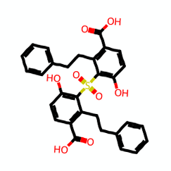 O=C(O)c1ccc(O)c(S(=O)(=O)c2c(O)ccc(C(=O)O)c2CCc2ccccc2)c1CCc1ccccc1